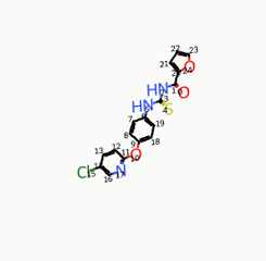 O=C(NC(=S)Nc1ccc(Oc2ccc(Cl)cn2)cc1)c1ccco1